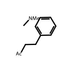 CC(=O)CCc1ccccc1.CNC